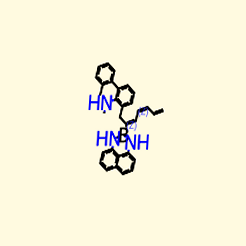 C=C/C=C\C=C(/Cc1cccc(-c2ccccc2C)c1NC)B1Nc2cccc3cccc(c23)N1